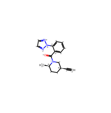 C#C[C@H]1CC[C@@H](C)N(C(=O)c2ccccc2-n2nccn2)C1